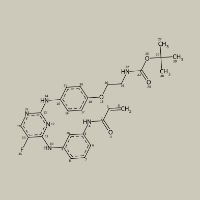 C=CC(=O)Nc1cccc(Nc2nc(Nc3ccc(OCCNC(=O)OC(C)(C)C)cc3)ncc2F)c1